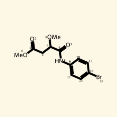 COC(=O)CC(OC)C(=O)Nc1ccc(Br)cc1